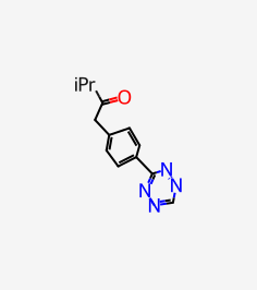 CC(C)C(=O)Cc1ccc(-c2nncnn2)cc1